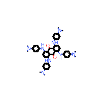 CN(C)c1ccc(Nc2ccc(Nc3ccc(N(C)C)cc3)c3c2C(=O)c2c(Nc4ccc(N(C)C)cc4)ccc(Nc4ccc(N(C)C)cc4)c2C3=O)cc1